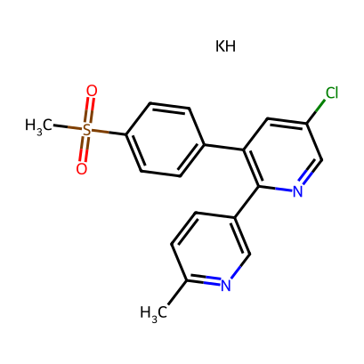 Cc1ccc(-c2ncc(Cl)cc2-c2ccc(S(C)(=O)=O)cc2)cn1.[KH]